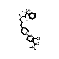 CN(C)C(=O)c1ccc(N2CCC(CCCN(C)C(=O)[C@@](C)(O)c3ccccc3)CC2)nc1Cl